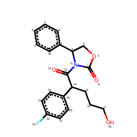 O=C1OCC(c2ccccc2)N1C(=O)C(CCCO)c1ccc(F)cc1